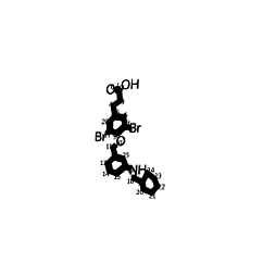 O=C(O)CCc1cc(Br)c(OCc2cccc(NCC3CCCCC3)c2)c(Br)c1